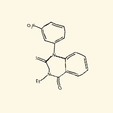 CCn1c(=O)c2ccccc2n(-c2cccc([N+](=O)[O-])c2)c1=S